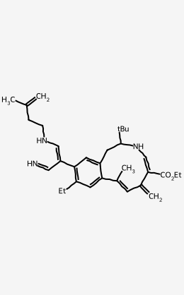 C=C(C)CCN/C=C(\C=N)c1cc2c(cc1CC)/C(C)=C/C(=C)/C(C(=O)OCC)=C\NC(C(C)(C)C)C2